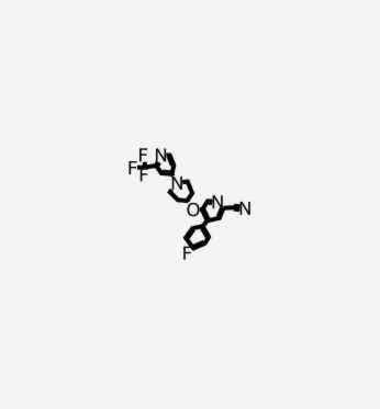 N#Cc1cc(-c2ccc(F)cc2)c(OC2CCN(c3ccnc(C(F)(F)F)c3)CC2)cn1